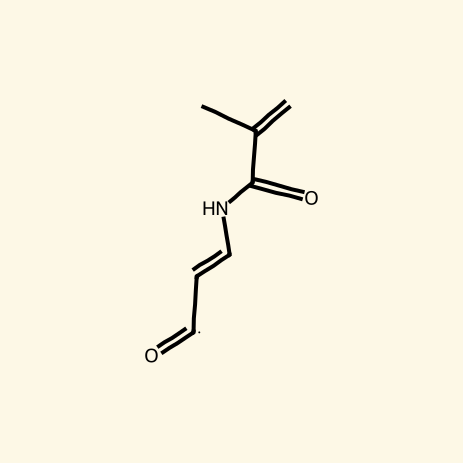 C=C(C)C(=O)NC=C[C]=O